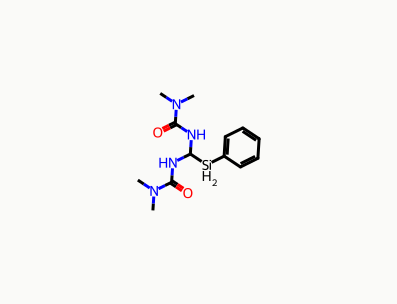 CN(C)C(=O)NC(NC(=O)N(C)C)[SiH2]c1ccccc1